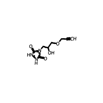 C#CCOCC(O)Cn1c(=O)[nH][nH]c1=O